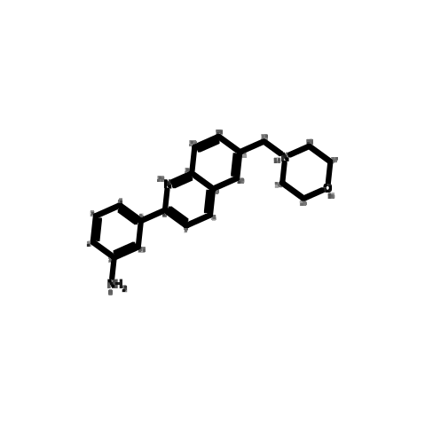 Nc1cccc(-c2ccc3cc(CN4CCOCC4)ccc3n2)c1